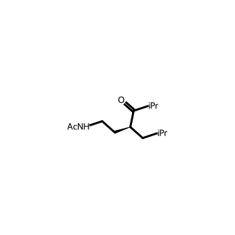 CC(=O)NCC[C@H](CC(C)C)C(=O)C(C)C